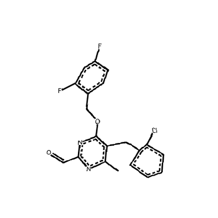 Cc1nc(C=O)nc(OCc2ccc(F)cc2F)c1Cc1ccccc1Cl